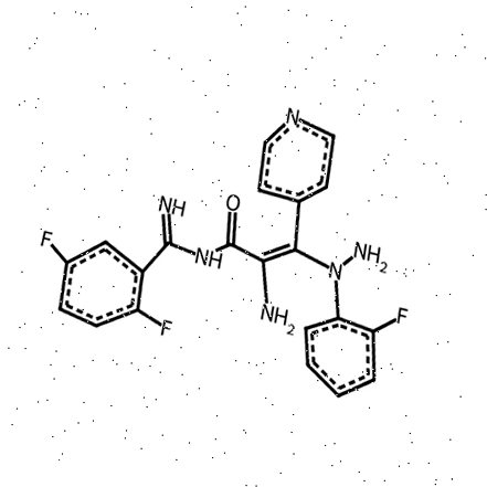 N=C(NC(=O)/C(N)=C(\c1ccncc1)N(N)c1ccccc1F)c1cc(F)ccc1F